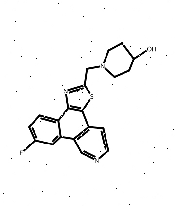 OC1CCN(Cc2nc3c4ccc(F)cc4c4cnccc4c3s2)CC1